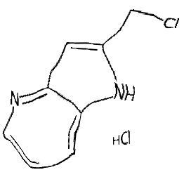 Cl.ClCc1cc2ncccc2[nH]1